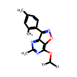 CCC(CC)Oc1nc(C)nc2c(-c3ccc(C)cc3C)noc12